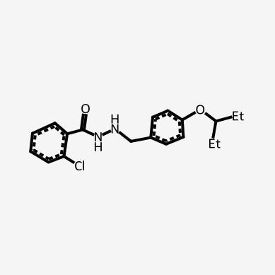 CCC(CC)Oc1ccc(CNNC(=O)c2ccccc2Cl)cc1